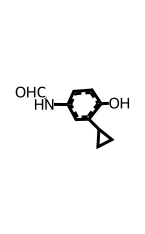 O=CNc1ccc(O)c(C2CC2)c1